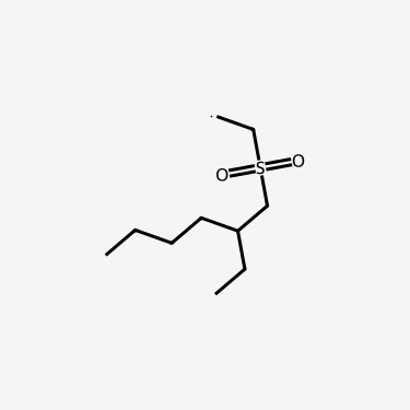 [CH2]CS(=O)(=O)CC(CC)CCCC